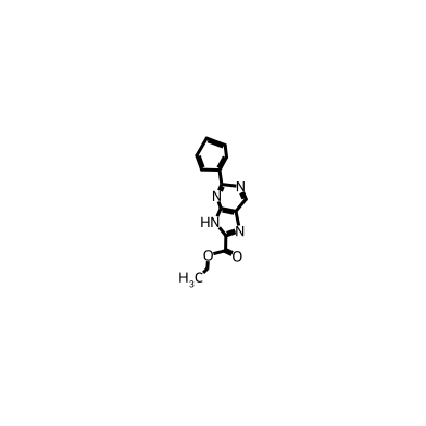 CCOC(=O)c1nc2cnc(-c3ccccc3)nc2[nH]1